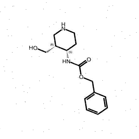 O=C(N[C@H]1CCNC[C@H]1CO)OCc1ccccc1